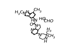 Cc1cc(NC(=O)N2CCc3c(N4CCNC(C)(C)C4)ccnc32)cc2cn(C)nc12.O=CO